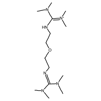 CN(C)C(=NCCOCCNC(N(C)C)=[N+](C)C)N(C)C